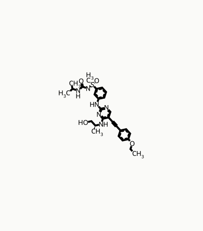 CCOc1ccc(C#Cc2cnc(Nc3cccc(S(C)(=O)=NC(=O)NC(C)C)c3)nc2N[C@H](C)CO)cc1